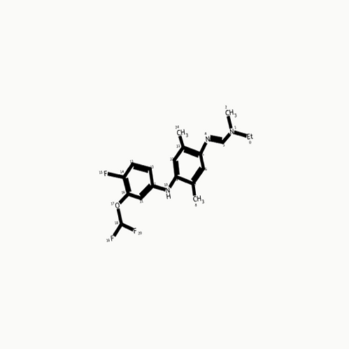 CCN(C)C=Nc1cc(C)c(Nc2ccc(F)c(OC(F)F)c2)cc1C